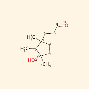 CC1C(C)(O)CCC1(C)CCC=O